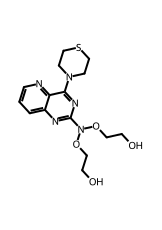 OCCON(OCCO)c1nc(N2CCSCC2)c2ncccc2n1